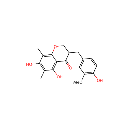 COc1cc(CC2COc3c(C)c(O)c(C)c(O)c3C2=O)ccc1O